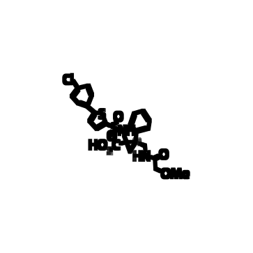 COCC(=O)NC[C@@]1(c2ccccc2)CC1(NS(=O)(=O)c1ccc(-c2ccc(Cl)cc2)s1)C(=O)O